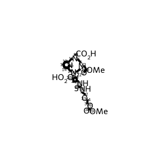 COC(=O)CN1CCN(CC(=O)O)Cc2cccc(n2)CN(CC(=O)O)[C@@H](C[C@H]2CCC2NC(=S)NCCOCCOC(=O)OC)C1